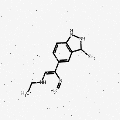 C=N/C(=C\NCC)c1ccc2c(c1)C(N)NN2